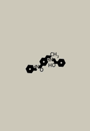 C[C@H](Cc1ccc(C(=O)NCc2ccccc2)cc1)NC[C@H](O)c1ccccc1